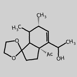 CC(=O)[C@]12CCC3(OCCO3)C1C(C)[C@H](C)C=C2C(C)O